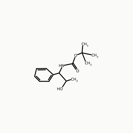 CC(O)C(NC(=O)OC(C)(C)C)c1ccccc1